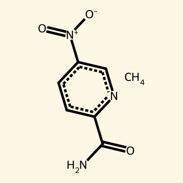 C.NC(=O)c1ccc([N+](=O)[O-])cn1